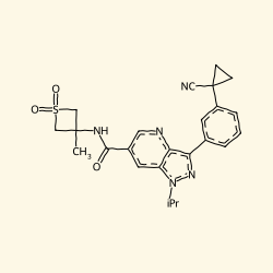 CC(C)n1nc(-c2cccc(C3(C#N)CC3)c2)c2ncc(C(=O)NC3(C)CS(=O)(=O)C3)cc21